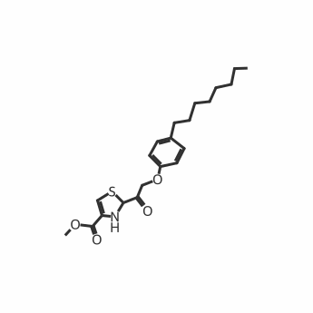 CCCCCCCCc1ccc(OCC(=O)C2NC(C(=O)OC)=CS2)cc1